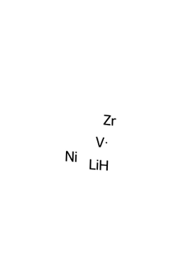 [LiH].[Ni].[V].[Zr]